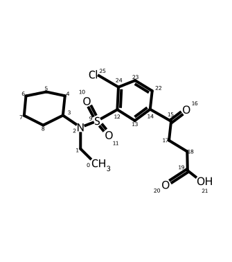 CCN(C1CCCCC1)S(=O)(=O)c1cc(C(=O)CCC(=O)O)ccc1Cl